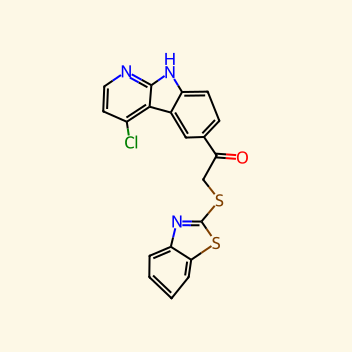 O=C(CSc1nc2ccccc2s1)c1ccc2[nH]c3nccc(Cl)c3c2c1